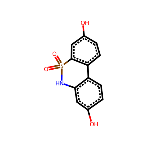 O=S1(=O)Nc2cc(O)ccc2-c2ccc(O)cc21